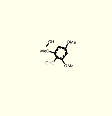 CO.COc1cc(OC)c(C=O)c(OC)c1